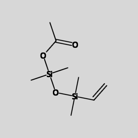 C=C[Si](C)(C)O[Si](C)(C)OC(C)=O